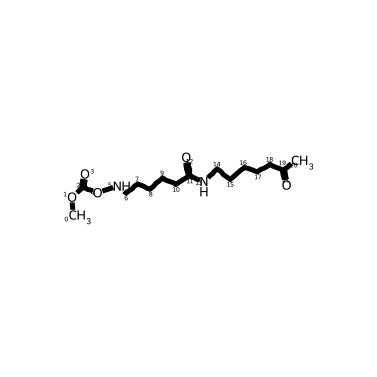 COC(=O)ONCCCCCC(=O)NCCCCCC(C)=O